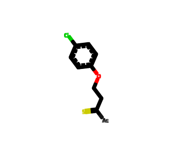 CC(=O)C(=S)CCOc1ccc(Cl)cc1